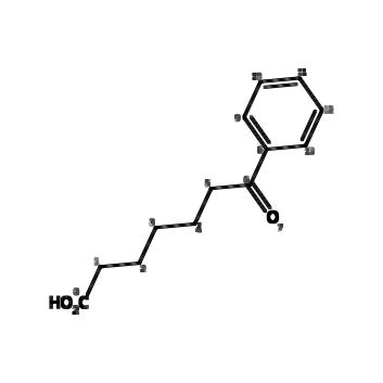 O=C(O)CCC[CH]CC(=O)c1ccccc1